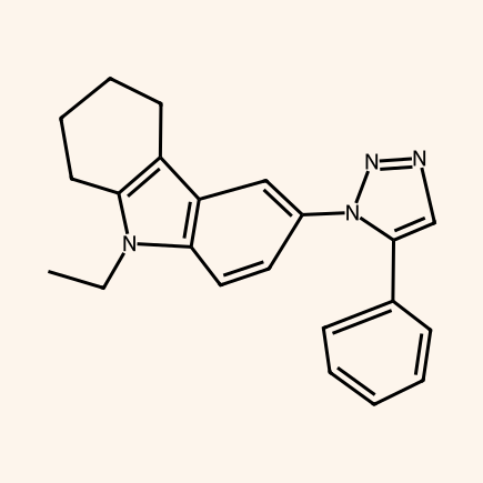 CCn1c2c(c3cc(-n4nncc4-c4ccccc4)ccc31)CCCC2